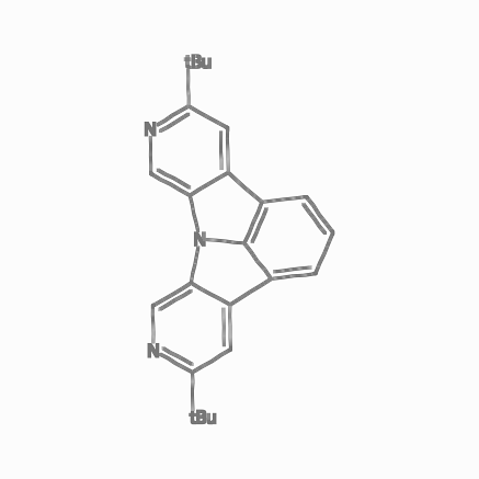 CC(C)(C)c1cc2c3cccc4c5cc(C(C)(C)C)ncc5n(c2cn1)c34